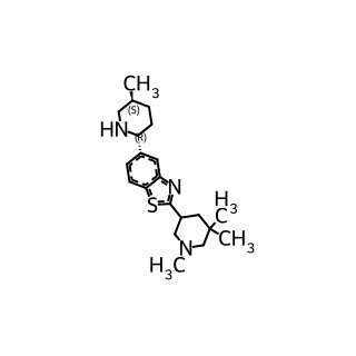 C[C@H]1CC[C@H](c2ccc3sc(C4CN(C)CC(C)(C)C4)nc3c2)NC1